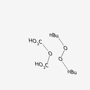 CCCCOOCCCC.O=C(O)OC(=O)O